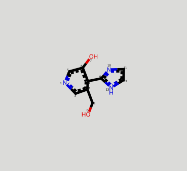 OCc1cncc(O)c1-c1ncc[nH]1